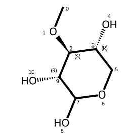 CO[C@H]1[C@H](O)COC(O)[C@@H]1O